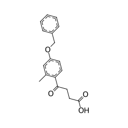 Cc1cc(OCc2ccccc2)ccc1C(=O)CCC(=O)O